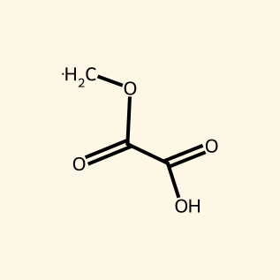 [CH2]OC(=O)C(=O)O